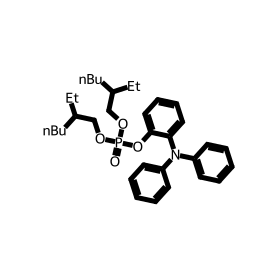 CCCCC(CC)COP(=O)(OCC(CC)CCCC)Oc1ccccc1N(c1ccccc1)c1ccccc1